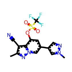 Cc1nn2cc(-c3cnn(C)c3)cc(OS(=O)(=O)C(F)(F)F)c2c1C#N